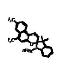 CCCCCCN1c2ccccc2C(C)(C)C12C=Cc1c(cc(C(F)(F)F)c3cc(C(F)(F)F)ccc13)O2